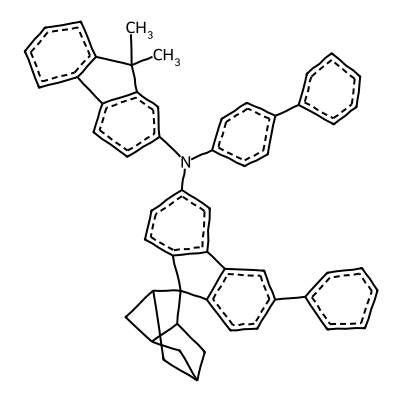 CC1(C)c2ccccc2-c2ccc(N(c3ccc(-c4ccccc4)cc3)c3ccc4c(c3)-c3cc(-c5ccccc5)ccc3C43C4CC5CC(C4)C3C5)cc21